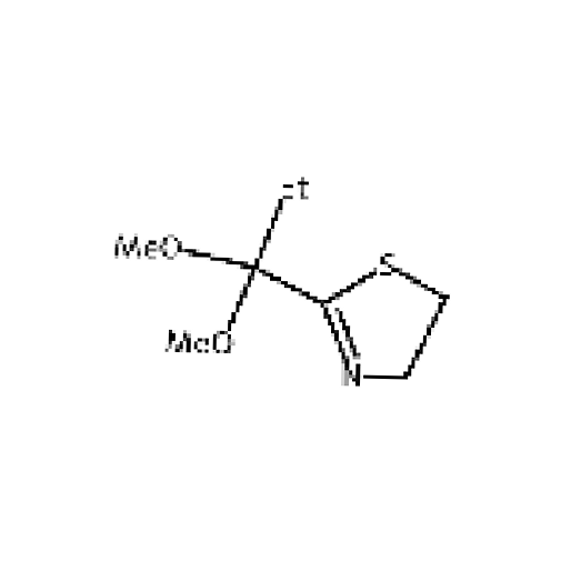 CCC(OC)(OC)C1=NCCS1